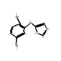 Brc1ccc(Br)c(Oc2cn[c]s2)c1